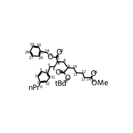 CCCc1ccc(CC[C@H](CC(CCCCC(=O)OC)C(=O)OC(C)(C)C)C(=O)OCc2ccccc2)cc1